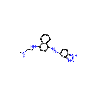 CNCCNc1ccc(/N=N/c2ccc3[nH]nnc3c2)c2ccccc12